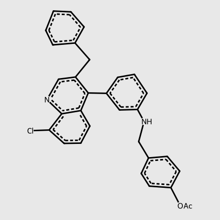 CC(=O)Oc1ccc(CNc2cccc(-c3c(Cc4ccccc4)cnc4c(Cl)cccc34)c2)cc1